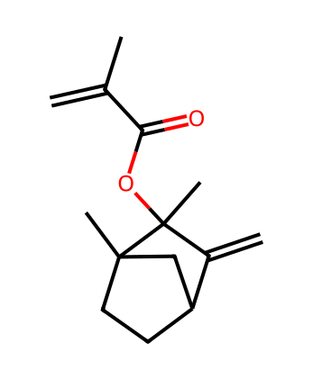 C=C(C)C(=O)OC1(C)C(=C)C2CCC1(C)C2